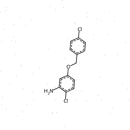 Nc1cc(OCc2ccc(Cl)cc2)ccc1Cl